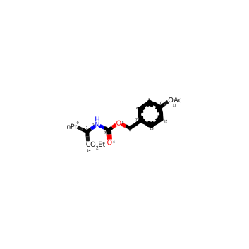 CCCC(NC(=O)OCc1ccc(OC(C)=O)cc1)C(=O)OCC